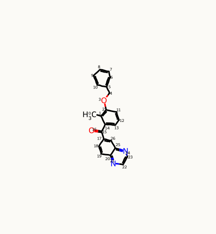 Cc1c(OCc2ccccc2)cccc1C(=O)c1ccc2nccnc2c1